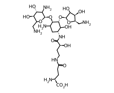 NCC1O[C@H](O[C@@H]2C(N)C[C@@H](NC(=O)[C@@H](O)CCNC(=O)CC[C@H](N)C(=O)O)C(O)[C@H]2O[C@@H]2O[C@H](CN)[C@H](O)C2O)C(N)[C@@H](O)[C@@H]1O